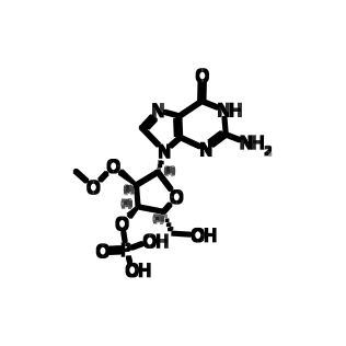 COO[C@@H]1[C@H](OP(=O)(O)O)[C@@H](CO)O[C@H]1n1cnc2c(=O)[nH]c(N)nc21